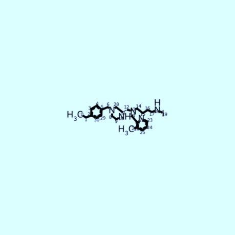 CCc1ccc(CN2CCN[C@@H](CN(CCCCNI)Cc3ncccc3C)C2)cc1